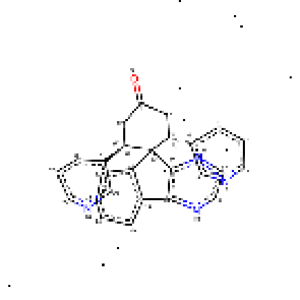 O=C1C[C@H](c2cccnc2)C2(c3ccccc3-c3nccnc32)[C@@H](c2cccnc2)C1